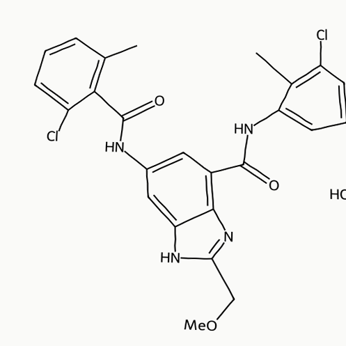 COCc1nc2c(C(=O)Nc3cccc(Cl)c3C)cc(NC(=O)c3c(C)cccc3Cl)cc2[nH]1.Cl